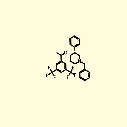 CC(O[C@H]1CCN(Cc2ccccc2)C[C@H]1c1ccccc1)c1cc(C(F)(F)F)cc(C(F)(F)F)c1